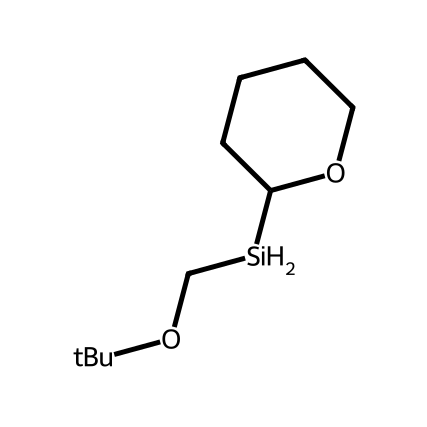 CC(C)(C)OC[SiH2]C1CCCCO1